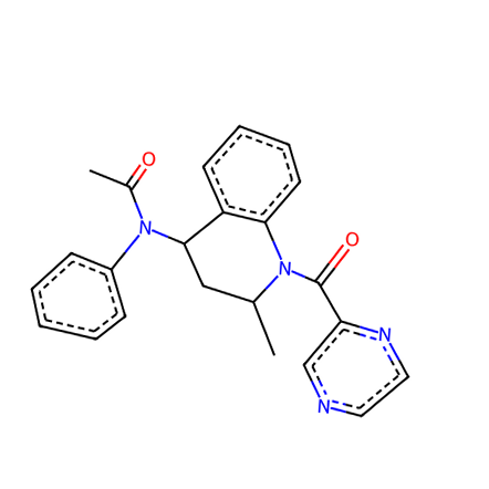 CC(=O)N(c1ccccc1)C1CC(C)N(C(=O)c2cnccn2)c2ccccc21